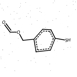 O=COCc1ccc(S)cc1